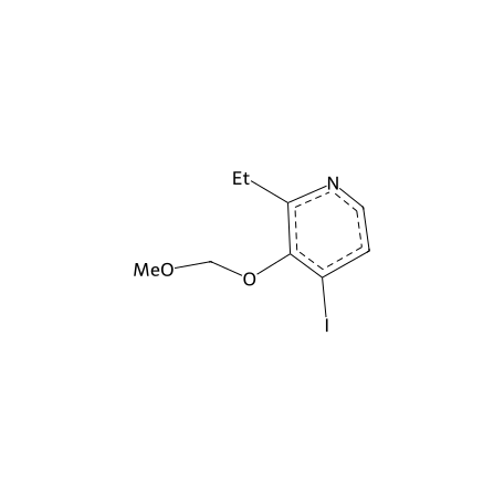 CCc1nccc(I)c1OCOC